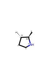 C[C@H]1CCN[C@@H]1C